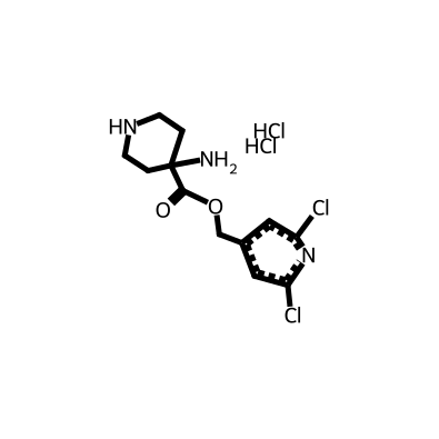 Cl.Cl.NC1(C(=O)OCc2cc(Cl)nc(Cl)c2)CCNCC1